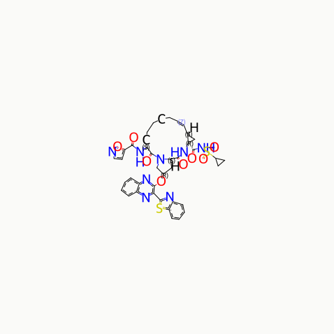 O=C(N[C@H]1CCCCC/C=C\[C@@H]2C[C@@]2(C(=O)NS(=O)(=O)C2CC2)NC(=O)[C@@H]2C[C@@H](Oc3nc4ccccc4nc3-c3nc4ccccc4s3)CN2C1=O)c1ccno1